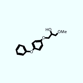 COCC(O)COc1ccc(Oc2ccccc2)cc1